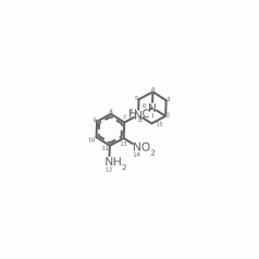 CN1C2CC1CN(c1cccc(N)c1[N+](=O)[O-])C2